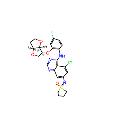 O=S1(=Nc2cc(Cl)c3c(Nc4ccc(F)cc4O[C@@H]4CO[C@@H]5CCO[C@@H]54)ncnc3c2)CCCC1